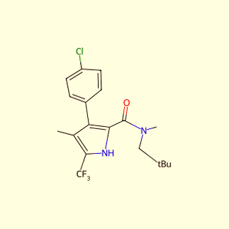 Cc1c(C(F)(F)F)[nH]c(C(=O)N(C)CC(C)(C)C)c1-c1ccc(Cl)cc1